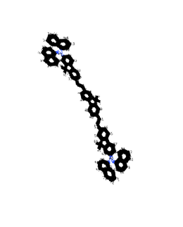 CC1(C)c2cc(/C=C/c3ccc4c(c3)C(C)(C)c3cc(N(c5cccc6ccccc56)c5cccc6ccccc56)ccc3-4)ccc2-c2ccc(/C=C/c3ccc4c(c3)C(C)(C)c3cc(N(c5cccc6ccccc56)c5cccc6ccccc56)ccc3-4)cc21